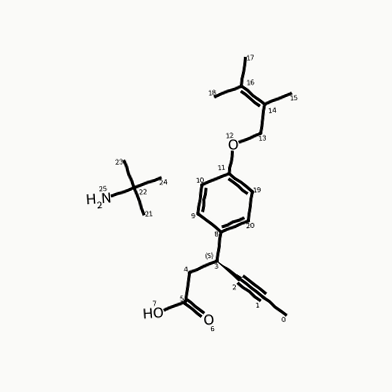 CC#C[C@@H](CC(=O)O)c1ccc(OCC(C)=C(C)C)cc1.CC(C)(C)N